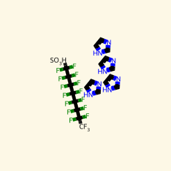 O=S(=O)(O)C(F)(F)C(F)(F)C(F)(F)C(F)(F)C(F)(F)C(F)(F)C(F)(F)C(F)(F)F.c1c[nH]cn1.c1c[nH]cn1.c1c[nH]cn1.c1c[nH]cn1